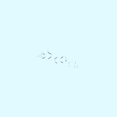 Cc1cc(-c2ccc3cc(C4CCNCC4)ncc3c2)cc2cn(C)nc12